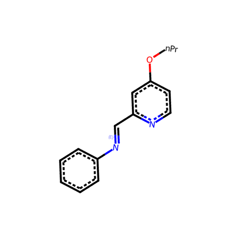 CCCOc1ccnc(/C=N/c2ccccc2)c1